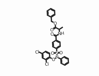 CC(NC(=O)c1ccc(S(=O)(=O)N(Oc2ccc(Cl)cc2Cl)c2ccccc2)cc1)C(=O)OCc1ccccc1